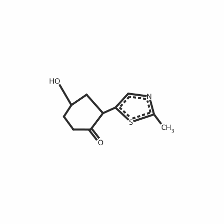 Cc1ncc(C2CC(O)CCC2=O)s1